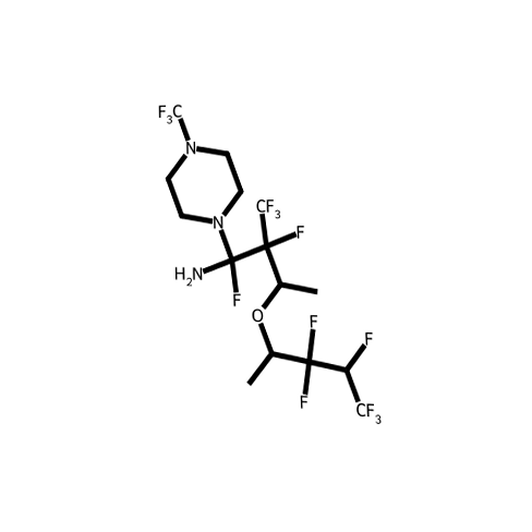 CC(OC(C)C(F)(C(F)(F)F)C(N)(F)N1CCN(C(F)(F)F)CC1)C(F)(F)C(F)C(F)(F)F